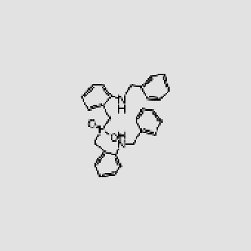 O=P(O)(Cc1ccccc1NCc1ccccc1)Cc1ccccc1NCc1ccccc1